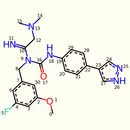 COc1cc(F)cc(CN(C(=N)CN(C)C)C(=O)Nc2ccc(-c3cn[nH]c3)cc2)c1